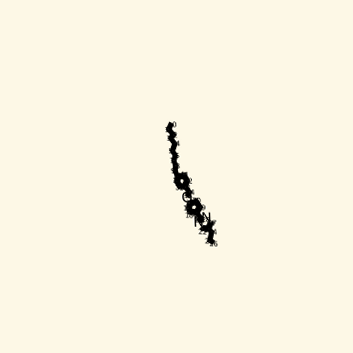 CCCCCCCCCCc1ccc(COc2ccc(-c3ncc(CCC)cn3)cc2)cc1